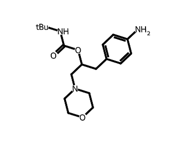 CC(C)(C)NC(=O)OC(Cc1ccc(N)cc1)CN1CCOCC1